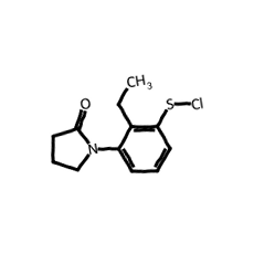 CCc1c(SCl)cccc1N1CCCC1=O